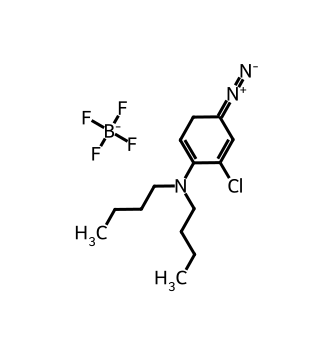 CCCCN(CCCC)C1=CCC(=[N+]=[N-])C=C1Cl.F[B-](F)(F)F